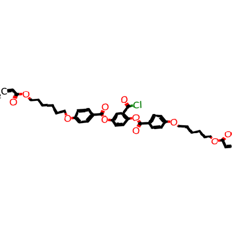 C=CC(=O)OCCCCCCOc1ccc(C(=O)Oc2ccc(OC(=O)c3ccc(OCCCCCCOC(=O)C=C)cc3)c(C(=O)Cl)c2)cc1